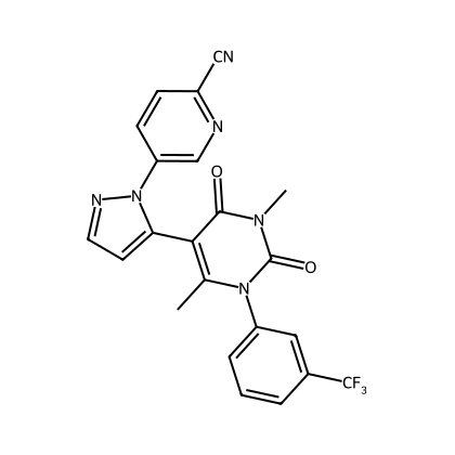 Cc1c(-c2ccnn2-c2ccc(C#N)nc2)c(=O)n(C)c(=O)n1-c1cccc(C(F)(F)F)c1